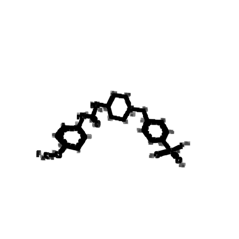 O=C(Nc1ccc(OC(F)(F)F)cc1)NC1CCN(Cc2ccc(S(=O)(=O)F)cc2)CC1